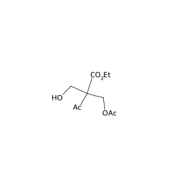 CCOC(=O)C(CO)(COC(C)=O)C(C)=O